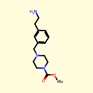 CC(C)(C)OC(=O)N1CCN(Cc2cccc(CCN)c2)CC1